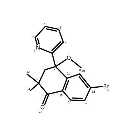 COC1(c2ccccn2)CC(C)(C)C(=O)c2ccc(Br)cc21